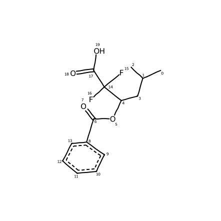 CC(C)CC(OC(=O)c1ccccc1)C(F)(F)C(=O)O